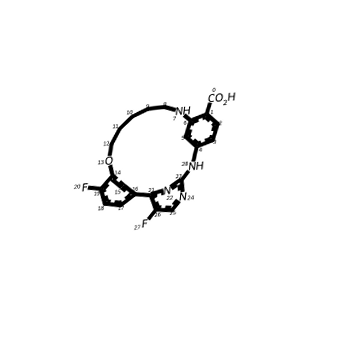 O=C(O)c1ccc2cc1NCCCCCOc1cc(ccc1F)-c1nc(ncc1F)N2